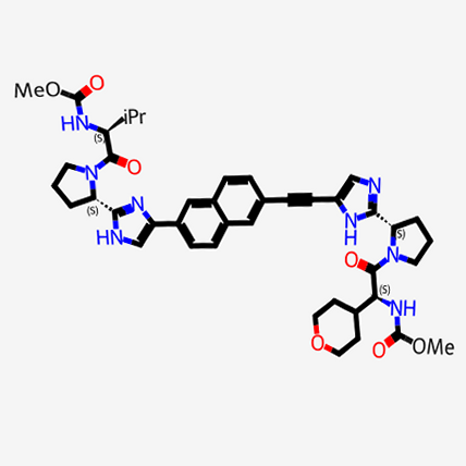 COC(=O)N[C@H](C(=O)N1CCC[C@H]1c1nc(-c2ccc3cc(C#Cc4cnc([C@@H]5CCCN5C(=O)[C@@H](NC(=O)OC)C5CCOCC5)[nH]4)ccc3c2)c[nH]1)C(C)C